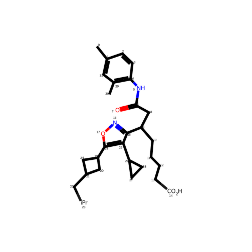 Cc1ccc(NC(=O)CC(CCCCC(=O)O)c2noc(C3CC(CC(C)C)C3)c2C2CC2)c(C)c1